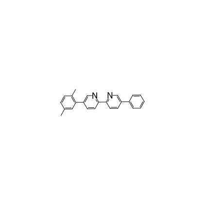 Cc1ccc(C)c(-c2ccc(-c3ccc(-c4ccccc4)cn3)nc2)c1